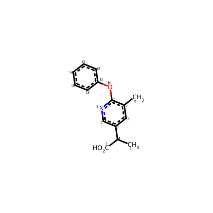 Cc1cc(C(C)C(=O)O)cnc1Oc1ccccc1